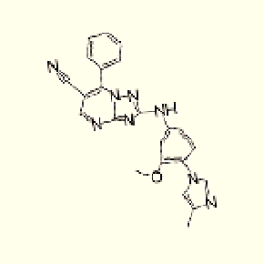 COc1cc(Nc2nc3ncc(C#N)c(-c4ccccc4)n3n2)ccc1-n1cnc(C)c1